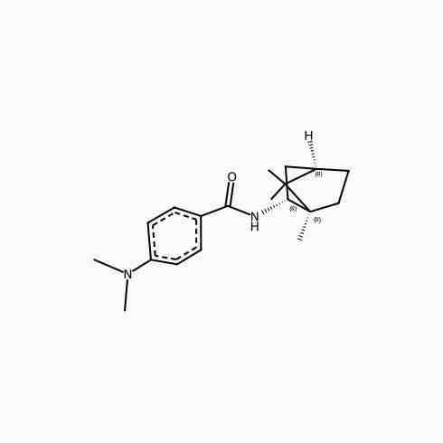 CN(C)c1ccc(C(=O)N[C@@H]2C[C@H]3CC[C@]2(C)C3(C)C)cc1